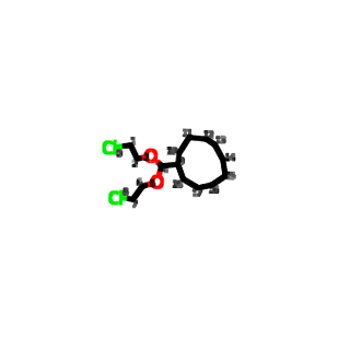 ClCCOC(OCCCl)C1CCCCCCCCC1